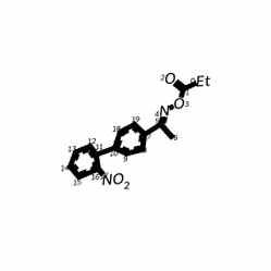 CCC(=O)ON=C(C)c1ccc(-c2ccccc2[N+](=O)[O-])cc1